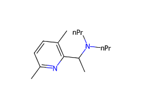 CCCN(CCC)C(C)c1nc(C)ccc1C